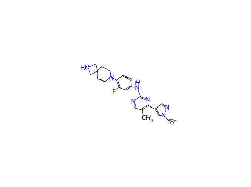 Cc1cnc(Nc2ccc(N3CCC4(CC3)CNC4)c(F)c2)nc1-c1cnn(C(C)C)c1